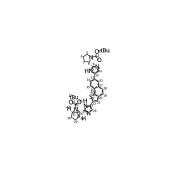 CC(C)(C)OC(=O)N1CCC[C@H]1c1ncc(-c2ccc3c(ccc4cc(-c5cnc([C@@H]6[C@H]7CC[C@H](C7)N6C(=O)OC(C)(C)C)[nH]5)sc43)c2)[nH]1